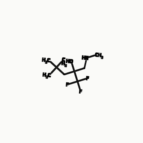 CNCC(O)(CC(C)(C)C)C(F)(F)F